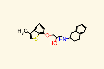 Cc1csc2c(OCC(O)CNC3CCc4ccccc4C3)cccc12